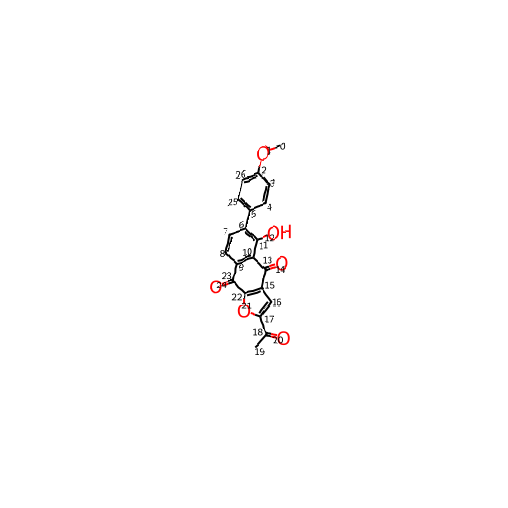 COc1ccc(-c2ccc3c(c2O)C(=O)c2cc(C(C)=O)oc2C3=O)cc1